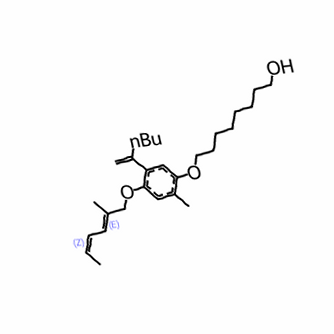 C=C(CCCC)c1cc(OCCCCCCCCO)c(C)cc1OC/C(C)=C/C=C\C